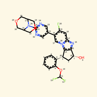 O[C@@H]1C[C@H](c2ccccc2OC(F)F)c2c1nc1cc(F)c(-c3cnc(N4C5COCC4COC5)nc3)cn21